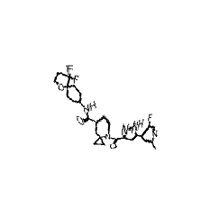 Cc1cc(-c2cc(C(=O)N3CC[C@H](C(=O)NC4CCC5(CC4)OCCC5(F)F)CC34CC4)n[nH]2)c(F)cn1